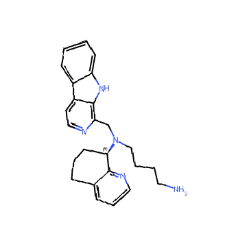 NCCCCN(Cc1nccc2c1[nH]c1ccccc12)[C@@H]1CCCc2cccnc21